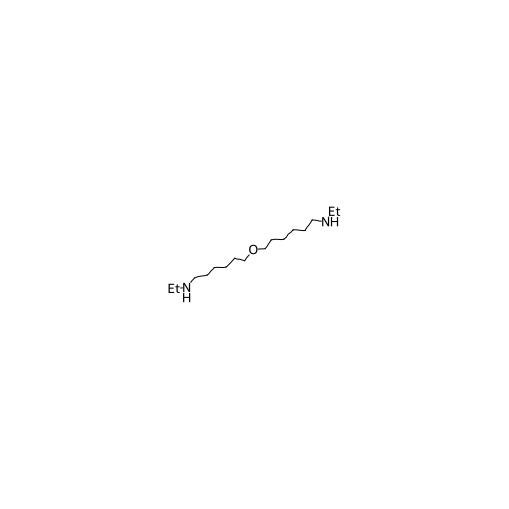 CCNCCCCCCOCCCCCCNCC